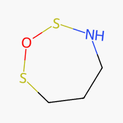 C1CNSOSC1